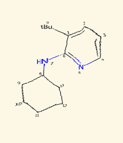 CC(C)(C)c1cccnc1NC1CCCCC1